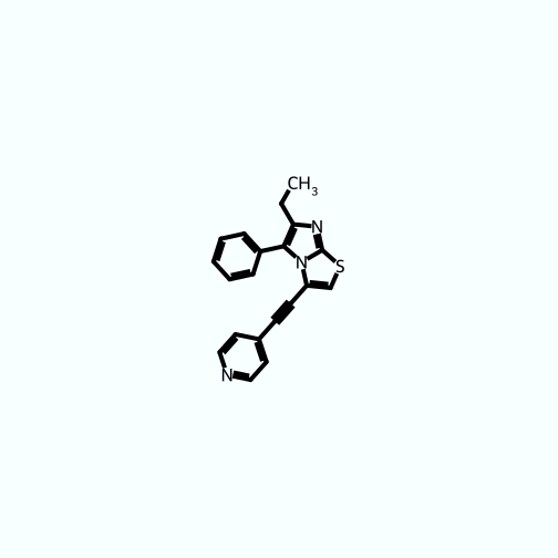 CCc1nc2scc(C#Cc3ccncc3)n2c1-c1ccccc1